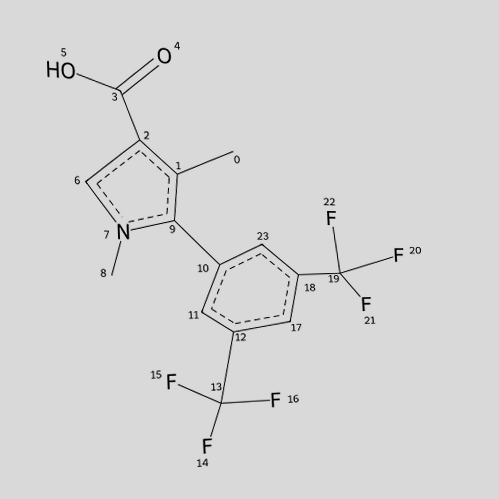 Cc1c(C(=O)O)cn(C)c1-c1cc(C(F)(F)F)cc(C(F)(F)F)c1